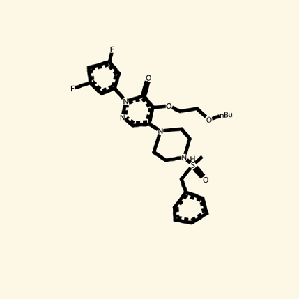 CCCCOCCOc1c(N2CCN([SH](C)(=O)Cc3ccccc3)CC2)cnn(-c2cc(F)cc(F)c2)c1=O